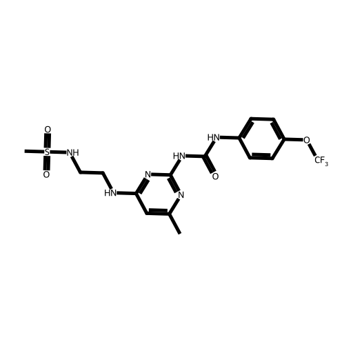 Cc1cc(NCCNS(C)(=O)=O)nc(NC(=O)Nc2ccc(OC(F)(F)F)cc2)n1